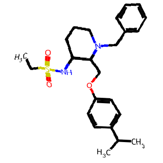 CCS(=O)(=O)NC1CCCN(Cc2ccccc2)C1COc1ccc(C(C)C)cc1